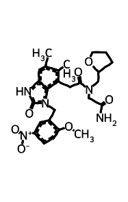 COc1ccc([N+](=O)[O-])cc1Cn1c(=O)[nH]c2cc(C)c(C)c(CC(=O)N(CC(N)=O)CC3CCCO3)c21